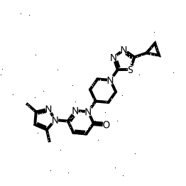 Cc1cc(C)n(-c2ccc(=O)n(C3CCN(c4nnc(C5CC5)s4)CC3)n2)n1